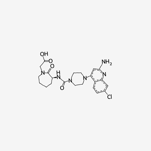 Nc1cc(N2CCN(C(=O)N[C@H]3CCCCN(CC(=O)O)C3=O)CC2)c2ccc(Cl)cc2n1